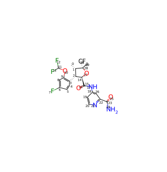 C[C@H]1[C@@H](c2ccc(F)cc2OC(F)F)[C@H](C(=O)Nc2ccnc(C(N)=O)c2)O[C@@]1(C)C(F)(F)F